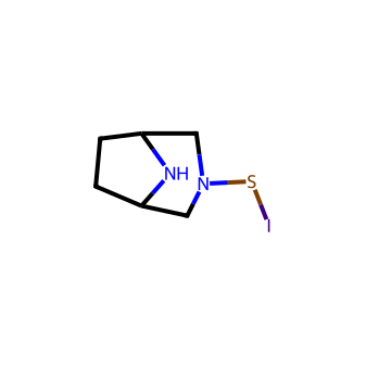 ISN1CC2CCC(C1)N2